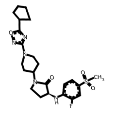 CS(=O)(=O)c1ccc(N[C@H]2CCN(C3CCN(c4noc(C5CCCC5)n4)CC3)C2=O)c(F)c1